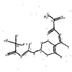 C=C(/C=C(/C)C1=C(C)CN(C/C(C)=C/C(=C)C(C)(F)F)CC1)C(N)=O